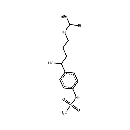 CCCCC(CC)NCCCC(O)c1ccc(NS(C)(=O)=O)cc1